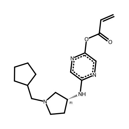 C=CC(=O)Oc1cnc(N[C@@H]2CCN(CC3CCCC3)C2)cn1